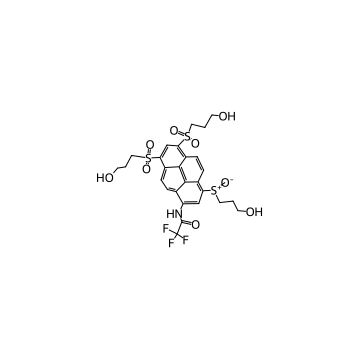 O=C(Nc1cc([S+]([O-])CCCO)c2ccc3c(S(=O)(=O)CCCO)cc(S(=O)(=O)CCCO)c4ccc1c2c43)C(F)(F)F